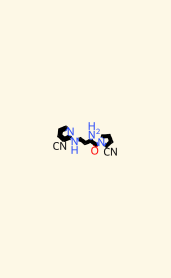 N#Cc1cccnc1NCCC(N)C(=O)N1CCC[C@H]1C#N